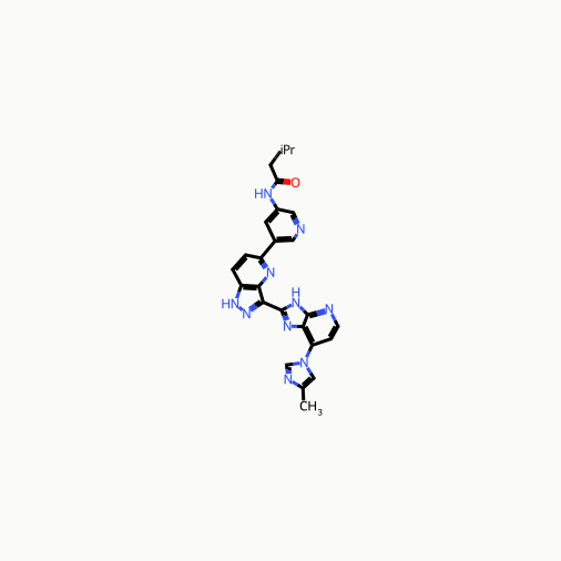 Cc1cn(-c2ccnc3[nH]c(-c4n[nH]c5ccc(-c6cncc(NC(=O)CC(C)C)c6)nc45)nc23)cn1